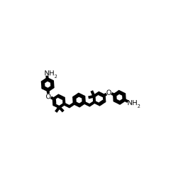 CC1(C)C=C(Oc2ccc(N)cc2)C=CC1Cc1cccc(CC2C=CC(Oc3ccc(N)cc3)=CC2(C)C)c1